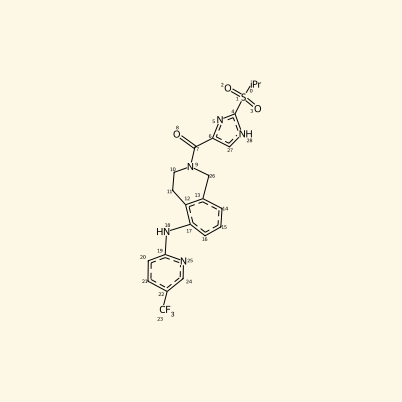 CC(C)S(=O)(=O)c1nc(C(=O)N2CCc3c(cccc3Nc3ccc(C(F)(F)F)cn3)C2)c[nH]1